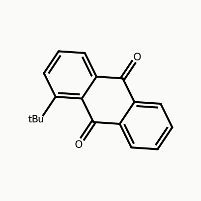 CC(C)(C)c1cccc2c1C(=O)c1ccccc1C2=O